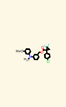 COc1cccc(N(C)c2cccc(COC(=O)C3(c4ccc(Cl)cc4)CC3(F)F)c2)c1